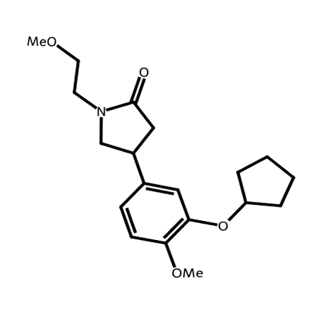 COCCN1CC(c2ccc(OC)c(OC3CCCC3)c2)CC1=O